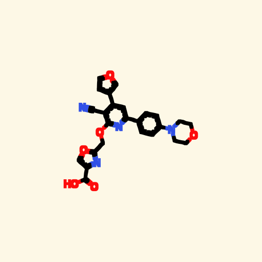 N#Cc1c(-c2ccoc2)cc(-c2ccc(N3CCOCC3)cc2)nc1OCc1nc(C(=O)O)co1